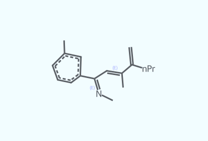 C=C(CCC)/C(C)=C/C(=N\C)c1cccc(C)c1